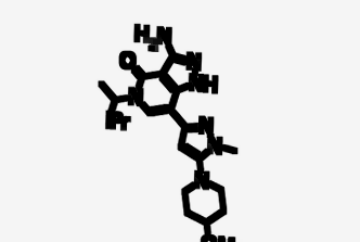 COC1CCN(c2cc(-c3cn(C(C)C(C)C)c(=O)c4c(N)n[nH]c34)nn2C)CC1